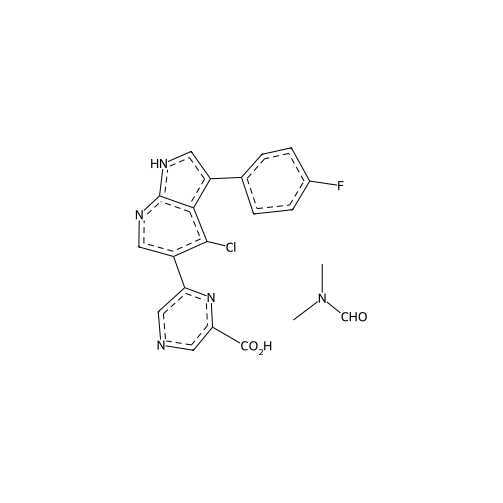 CN(C)C=O.O=C(O)c1cncc(-c2cnc3[nH]cc(-c4ccc(F)cc4)c3c2Cl)n1